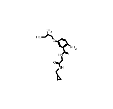 C[C@@H](CO)COc1ccc(N)c(C(=O)NCC(=O)NCC2CC2)c1